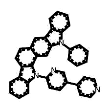 c1ccc(-n2c3ccccc3c3cc4ccc5c6ccccc6n(-c6ccc(-c7ccncc7)cn6)c5c4cc32)cc1